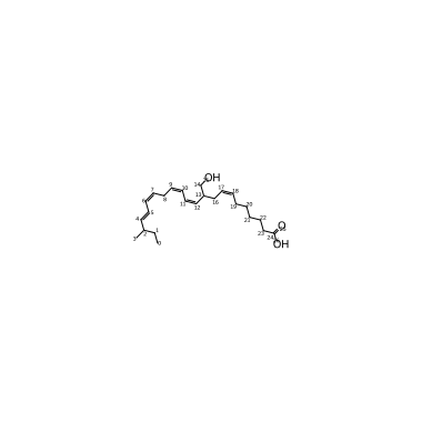 CCC(C)/C=C/C=C\C/C=C\C=C/C(CO)C/C=C\CCCCCC(=O)O